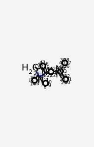 C=C1/C=c2\c(n(-c3ccccc3)c3ccccc23)=C/N(c2ccc(-c3nc(-c4ccccc4)cc(-c4ccccc4)n3)cc2)c2ccccc21